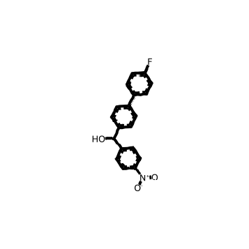 O=[N+]([O-])c1ccc(C(O)c2ccc(-c3ccc(F)cc3)cc2)cc1